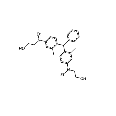 CCN(CCO)c1ccc(C(c2ccccc2)c2ccc(N(CC)CCO)cc2C)c(C)c1